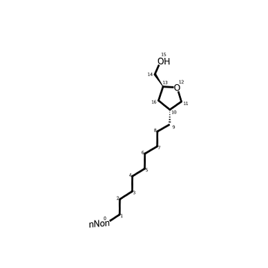 CCCCCCCCCCCCCCCCCC[C@H]1CO[C@H](CO)C1